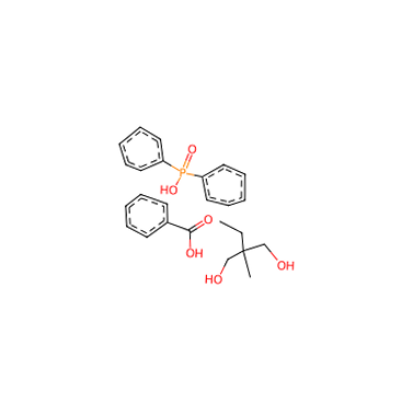 CCC(C)(CO)CO.O=C(O)c1ccccc1.O=P(O)(c1ccccc1)c1ccccc1